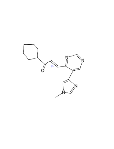 Cn1cnc(-c2cncnc2/C=C/C(=O)C2CCCCC2)c1